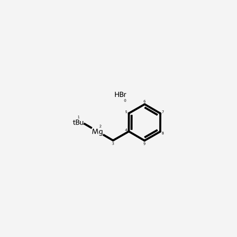 Br.C[C](C)(C)[Mg][CH2]c1ccccc1